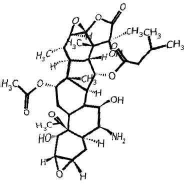 CC(=O)O[C@H]1CC2C([C@@H](O)[C@@H](N)[C@H]3C[C@@H]4O[C@@H]4[C@H](O)[C@]23C(C)=O)[C@@H]2[C@@H](OC(=O)CC(C)C)[C@@H]3[C@H]([C@H](C)[C@H]4O[C@]45OC(=O)[C@@](C)(O)[C@]35C)[C@@]12C